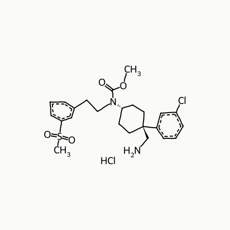 COC(=O)N(CCc1cccc(S(C)(=O)=O)c1)[C@H]1CC[C@@](CN)(c2cccc(Cl)c2)CC1.Cl